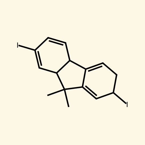 CC1(C)C2=CC(I)CC=C2C2C=CC(I)=CC21